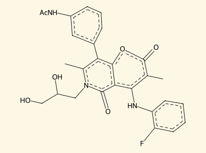 CC(=O)Nc1cccc(-c2c(C)n(CC(O)CO)c(=O)c3c(Nc4ccccc4F)c(C)c(=O)oc23)c1